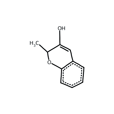 CC1Oc2ccccc2C=C1O